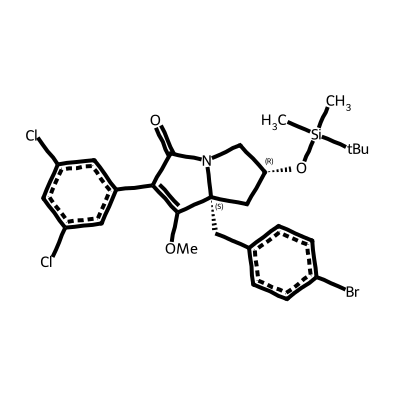 COC1=C(c2cc(Cl)cc(Cl)c2)C(=O)N2C[C@H](O[Si](C)(C)C(C)(C)C)C[C@@]12Cc1ccc(Br)cc1